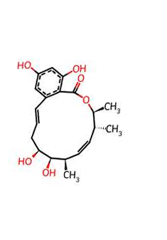 C[C@@H]1/C=C\[C@@H](C)[C@H](C)OC(=O)c2c(O)cc(O)cc2/C=C/C[C@H](O)[C@@H]1O